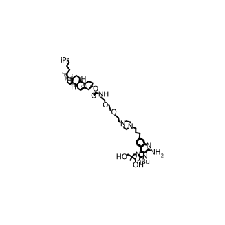 CCCCc1nc2c(N)nc3cc(CCCN4CCN(CCCOCCOCCNC(=O)O[C@H]5CC[C@@]6(C)C(=CC[C@H]7[C@@H]8CC[C@H]([C@H](C)CCCC(C)C)[C@@]8(C)CC[C@@H]76)C5)CC4)ccc3c2n1CC(C)(CO)CO